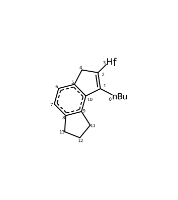 CCCCC1=[C]([Hf])Cc2ccc3c(c21)CCC3